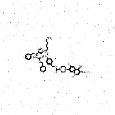 CCn1cc(C(=O)O)c(=O)c2cc(F)c(N3CCN(C(=O)OCc4ccc(NC[C@@H](CCCCN)n5cc([C@H](Cc6ccccc6)NC(=O)OCc6ccccc6)nn5)cc4)CC3)cc21